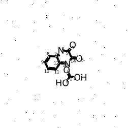 O=C(O)O.O=C1N=c2ccccc2=NC1=O